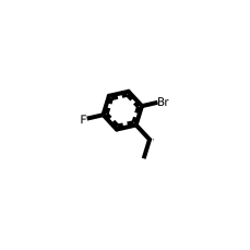 C[CH]c1cc(F)ccc1Br